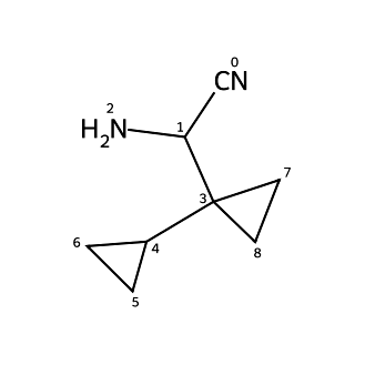 N#CC(N)C1(C2CC2)CC1